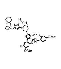 COc1ccc(CNc2nc3cc(OC)c(F)cc3c3nc(C4CCC(C)N(c5cn(CC6(OC7CCCCO7)CCC6)nc5C)C4)nn23)c(OC)c1